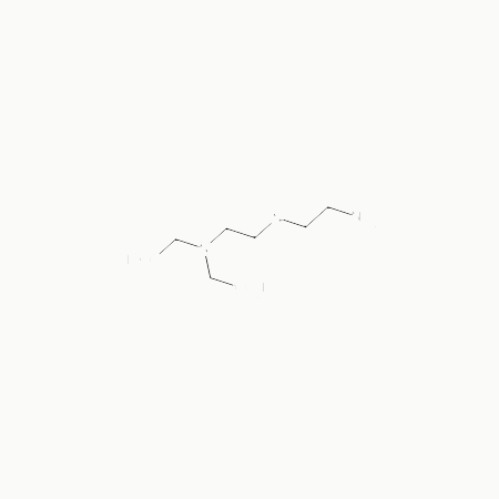 NCCNCCN(CC(=O)O)CC(=O)O